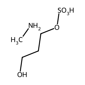 CN.O=S(=O)(O)OCCCO